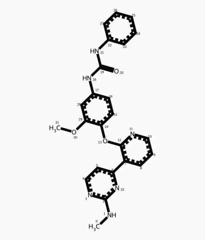 CNc1nccc(-c2cccnc2Oc2ccc(NC(=O)Nc3ccccc3)cc2OC)n1